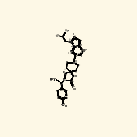 CC(c1ccc(C(F)(F)F)nc1)N1CC2(CCN(c3cnc4cnn(CC(F)F)c4n3)CC2)CC1=O